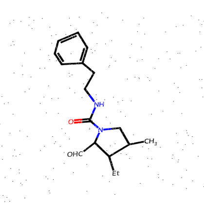 CCC1C(C)CN(C(=O)NCCc2ccccc2)C1C=O